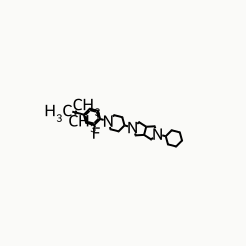 CC(C)(C)c1ccc(N2CCC(N3CC4CN(C5CCCCC5)CC4C3)CC2)c(F)c1